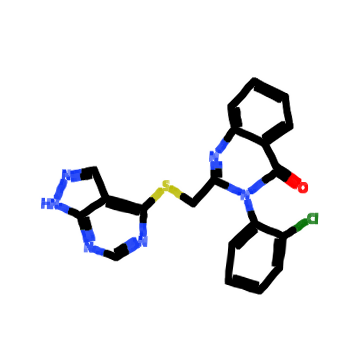 O=c1c2ccccc2nc(CSc2ncnc3[nH]ncc23)n1-c1ccccc1Cl